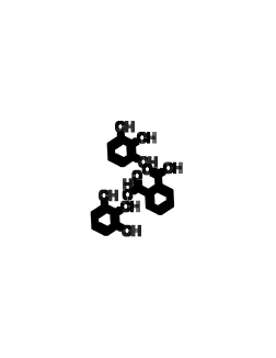 O=C(O)c1ccccc1C(=O)O.Oc1cccc(O)c1O.Oc1cccc(O)c1O